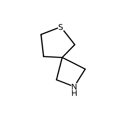 C1CC2(CNC2)CS1